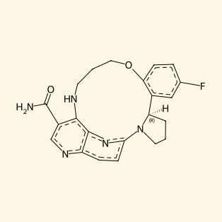 NC(=O)c1cnc2ccc3nc2c1NCCCOc1ccc(F)cc1[C@H]1CCCN31